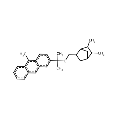 Cc1c2ccccc2cc2cc(C(C)(C)OCC3CC4CC3C(C)C4C)ccc12